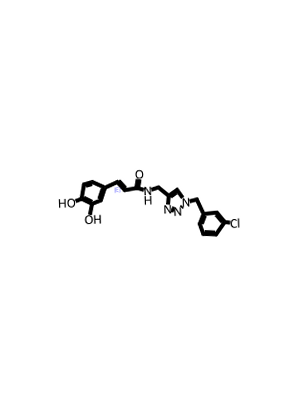 O=C(/C=C/c1ccc(O)c(O)c1)NCc1cn(Cc2cccc(Cl)c2)nn1